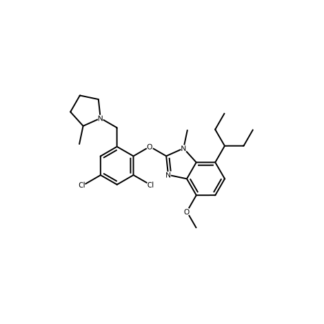 CCC(CC)c1ccc(OC)c2nc(Oc3c(Cl)cc(Cl)cc3CN3CCCC3C)n(C)c12